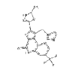 NC1NN=C(c2nc3c(=O)[nH]c4cc(C(F)(F)F)ccc4n3c2Cn2ccnc2)O1